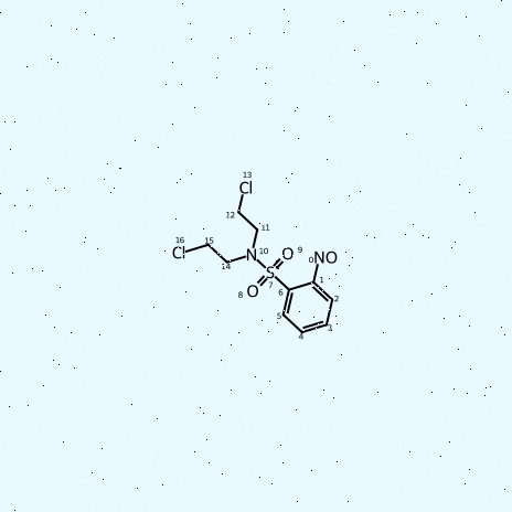 O=Nc1ccccc1S(=O)(=O)N(CCCl)CCCl